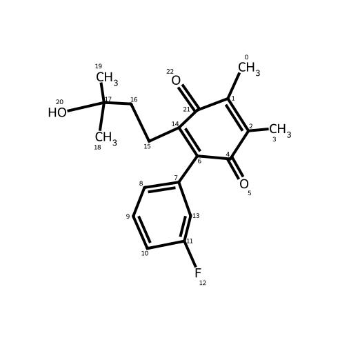 CC1=C(C)C(=O)C(c2cccc(F)c2)=C(CCC(C)(C)O)C1=O